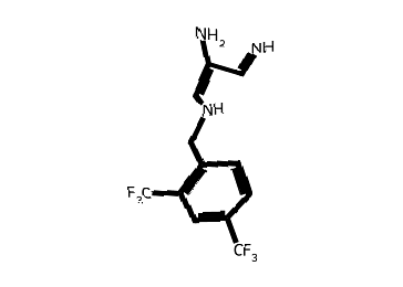 N=C/C(N)=C\NCc1ccc(C(F)(F)F)cc1C(F)(F)F